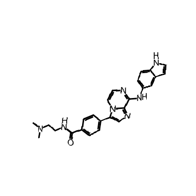 CN(C)CCNC(=O)c1ccc(-c2cnc3c(Nc4ccc5[nH]ccc5c4)nccn23)cc1